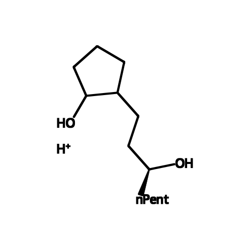 CCCCC[C@H](O)CCC1CCCC1O.[H+]